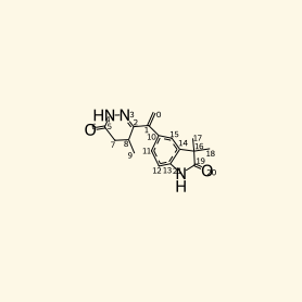 C=C(C1=NNC(=O)CC1C)c1ccc2c(c1)C(C)(C)C(=O)N2